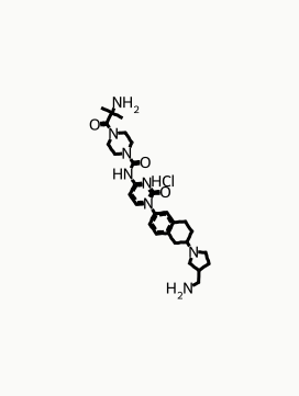 CC(C)(N)C(=O)N1CCN(C(=O)Nc2ccn(-c3ccc4c(c3)CCC(N3CCC(CN)C3)C4)c(=O)n2)CC1.Cl